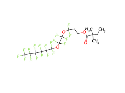 CCC(C)(C)C(=O)OCCC(F)(F)OC(F)(F)C(F)(F)OC(F)(F)C(F)(F)C(F)(F)C(F)(F)C(F)(F)C(F)(F)F